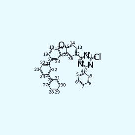 Clc1nc(-c2ccccc2)nc(-c2ccc3oc4ccc(-c5cccc(-c6ccccc6)c5)cc4c3c2)n1